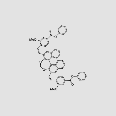 COc1cc(C(=O)Oc2ccccc2)ccc1/C=C\c1cc2ccccc2c2c1OCOc1c(/C=C\c3ccc(C(=O)Oc4ccccc4)cc3OC)cc3ccccc3c1-2